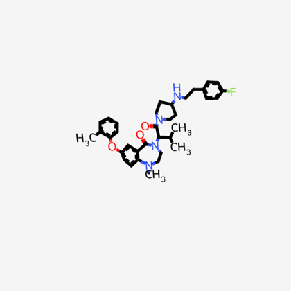 Cc1ccccc1Oc1ccc2c(c1)C(=O)N(C(C(=O)N1CCC(NCCc3ccc(F)cc3)CC1)C(C)C)CCN2C